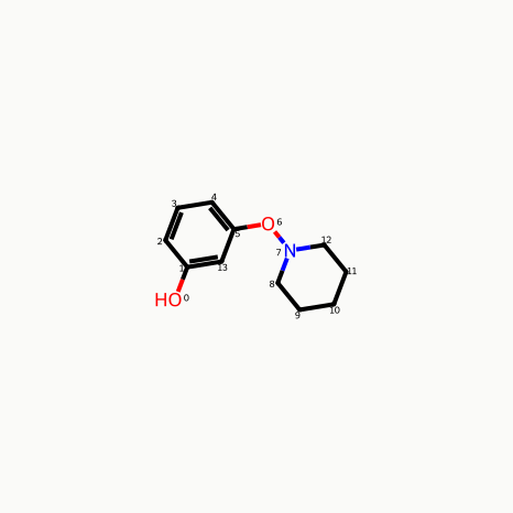 Oc1cccc(ON2CCCCC2)c1